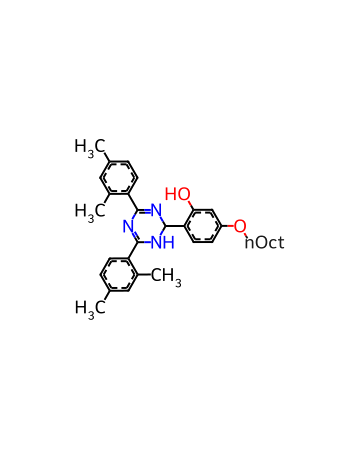 CCCCCCCCOc1ccc(C2N=C(c3ccc(C)cc3C)N=C(c3ccc(C)cc3C)N2)c(O)c1